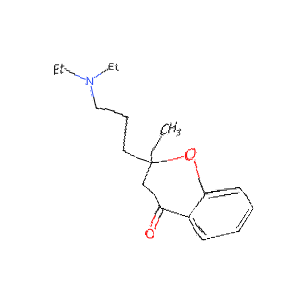 CCN(CC)CCCC1(C)CC(=O)c2ccccc2O1